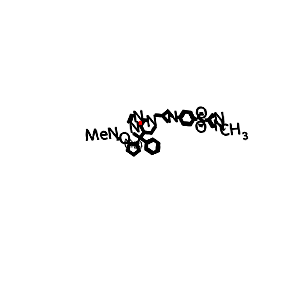 CNCO[C@H]1CCC[C@@H]1C(Cn1ccnc1)(c1ccccc1)C1CCN(CC2CN(c3ccc(S(=O)(=O)c4cnn(C)c4)cc3)C2)CC1